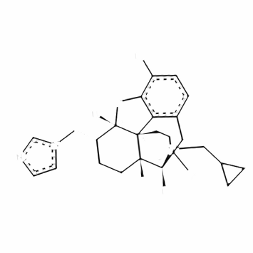 [O-][N+]1(CC2CC2)CC[C@]23c4c5ccc(O)c4O[C@H]2[C@@H](Cn2ccnc2)CC[C@@]3(O)[C@H]1C5